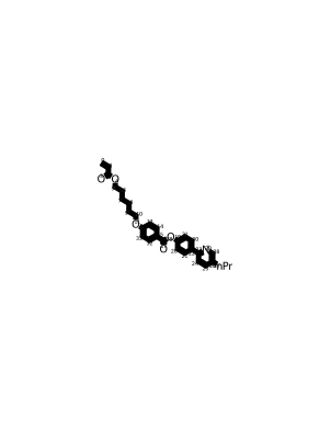 C=CC(=O)OCCCCCCOc1ccc(C(=O)Oc2ccc(-c3ccc(CCC)cn3)cc2)cc1